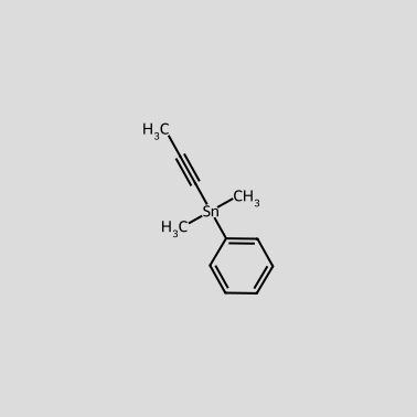 CC#[C][Sn]([CH3])([CH3])[c]1ccccc1